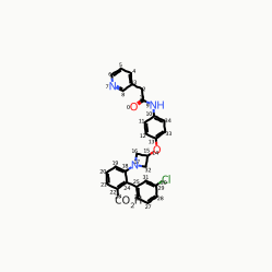 O=C(Cc1cccnc1)Nc1ccc(OC2CN(c3cccc(C(=O)O)c3-c3cccc(Cl)c3)C2)cc1